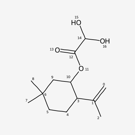 C=C(C)C1CCC(C)(C)CC1OC(=O)C(O)O